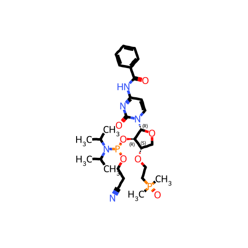 CC(C)N(C(C)C)P(OCCC#N)O[C@@H]1[C@@H](OCCP(C)(C)=O)CO[C@H]1n1ccc(NC(=O)c2ccccc2)nc1=O